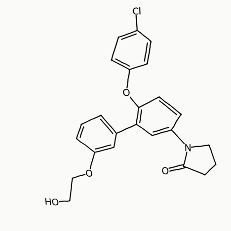 O=C1CCCN1c1ccc(Oc2ccc(Cl)cc2)c(-c2cccc(OCCO)c2)c1